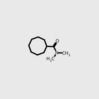 CN(C)C(=O)C1C[CH]CCCCC1